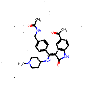 CC(=O)NCc1ccc(/C(NC2CCN(C)CC2)=C2/C(=O)Nc3ccc(C(C)=O)cc32)cc1